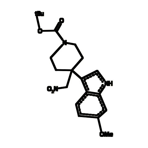 COc1ccc2c(C3(C[N+](=O)[O-])CCN(C(=O)OC(C)(C)C)CC3)c[nH]c2c1